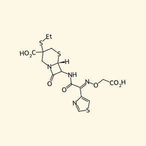 CCSC1(C(=O)O)CS[C@@H]2C(NC(=O)C(=NOCC(=O)O)c3cscn3)C(=O)N2C1